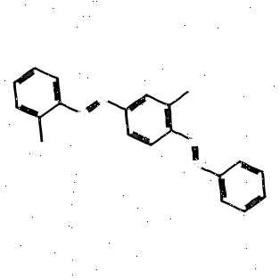 Cc1ccccc1N=Nc1ccc(N=Nc2ccccc2)c(C)c1